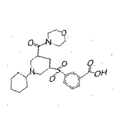 O=C(O)c1cccc(S(=O)(=O)C2CC(C(=O)N3CCOCC3)CN(C3CCCCC3)C2)c1